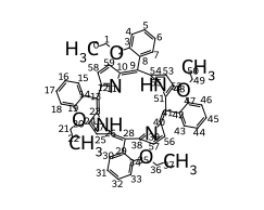 CCOc1ccccc1-c1c2nc(c(-c3ccccc3OCC)c3ccc([nH]3)c(-c3ccccc3OCC)c3nc(c(-c4ccccc4OCC)c4ccc1[nH]4)C=C3)C=C2